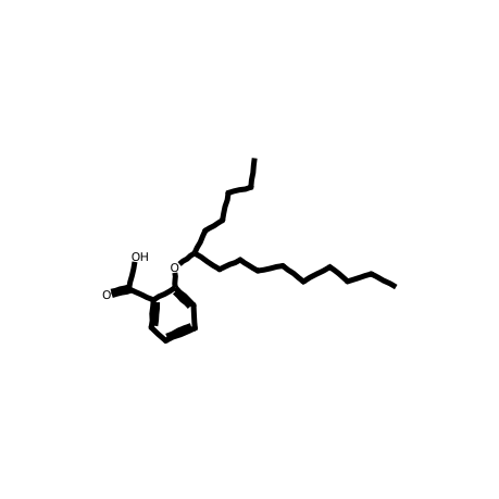 CCCCCCCCCC(CCCCC)Oc1ccccc1C(=O)O